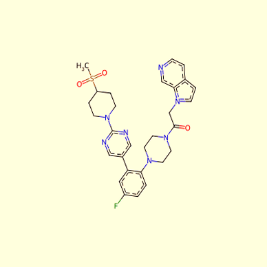 CS(=O)(=O)C1CCN(c2ncc(-c3cc(F)ccc3N3CCN(C(=O)Cn4ccc5ccncc54)CC3)cn2)CC1